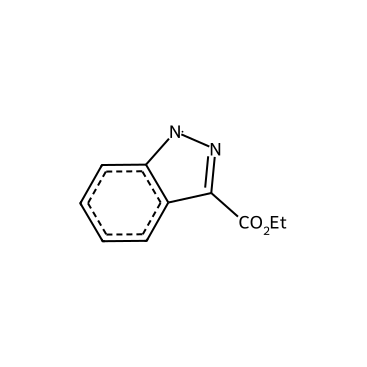 CCOC(=O)C1=N[N]c2ccccc21